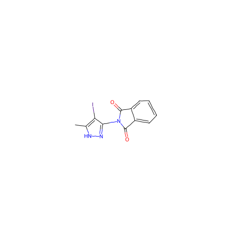 Cc1[nH]nc(N2C(=O)c3ccccc3C2=O)c1I